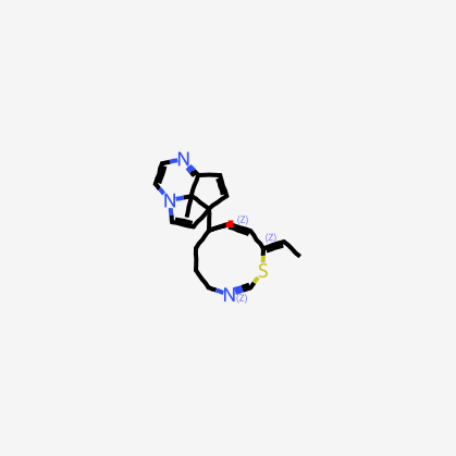 C/C=C1/C=C\C(CC)(C23C=CC4=NC=CN(C=C2)C43C)CCC/N=C\S1